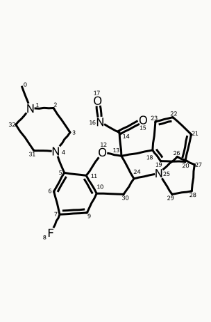 CN1CCN(c2cc(F)cc3c2OC(C(=O)N=O)(c2ccccc2)C(N2CCCC2)C3)CC1